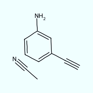 C#Cc1cccc(N)c1.CC#N